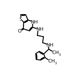 Cc1ccccc1C(C)NCCCNc1cc(=O)c2sccc2[nH]1